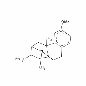 CCOC(=O)C1CC2C3Cc4ccc(OC)cc4C2(C)CC1N3C